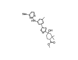 COC(=O)[C@H]1CC[C@](O)(c2ncc(-c3cc(C)cc(Nc4nccc(C#N)n4)c3)s2)CC1(C)C